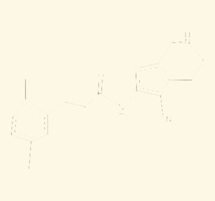 Cc1ccc(C)c(CCC(=O)Nc2sc3c(c2C#N)CCNC3)c1